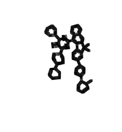 CC1C=CC=CC1c1ccc(-c2ccc3c(c2)C(C)(C)c2cc4ccccc4c(C4=NC(c5ccccc5)NC(c5ccc(C6C=CC=CC6)cc5)=N4)c2-3)cc1